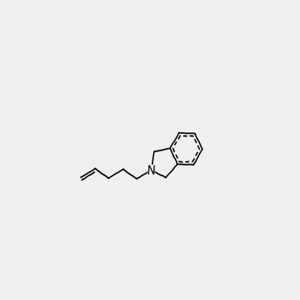 C=CCCCN1Cc2ccccc2C1